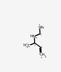 C=CC(C)NCCCC